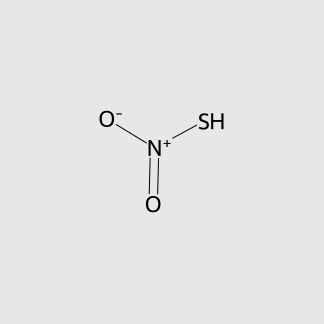 O=[N+]([O-])S